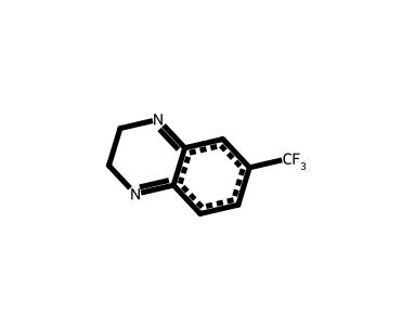 FC(F)(F)c1ccc2c(c1)=NCCN=2